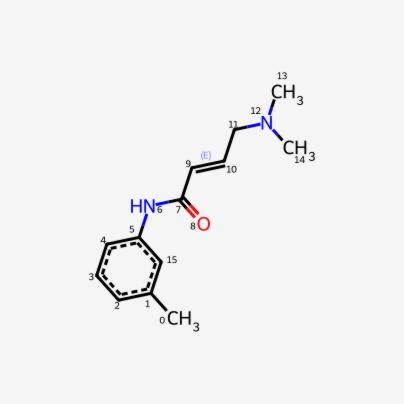 Cc1cccc(NC(=O)/C=C/CN(C)C)c1